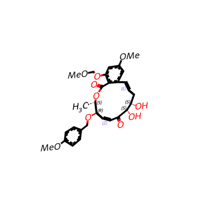 COCOc1cc(OC)cc2c1C(=O)O[C@@H](C)[C@H](OCc1ccc(OC)cc1)/C=C\C(=O)[C@@H](O)[C@@H](O)C/C=C/2